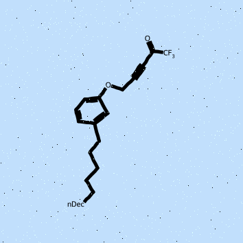 CCCCCCCCCCCCCCCc1cccc(OCC#CC(=O)C(F)(F)F)c1